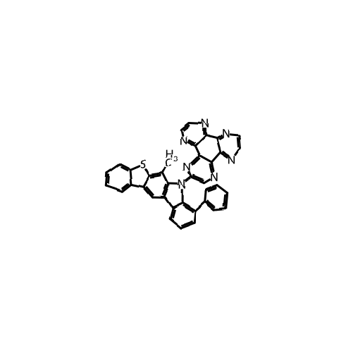 Cc1c2sc3ccccc3c2cc2c3cccc(-c4ccccc4)c3n(-c3cnc4c5nccnc5c5nccnc5c4n3)c12